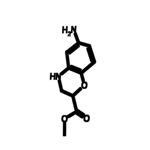 COC(=O)C1CNc2cc(N)ccc2O1